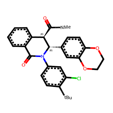 CNC(=O)[C@@H]1c2ccccc2C(=O)N(c2ccc(C(C)(C)C)c(Cl)c2)[C@H]1c1ccc2c(c1)OCCO2